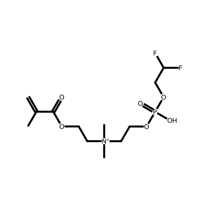 C=C(C)C(=O)OCC[N+](C)(C)CCOP(=O)(O)OCC(F)F